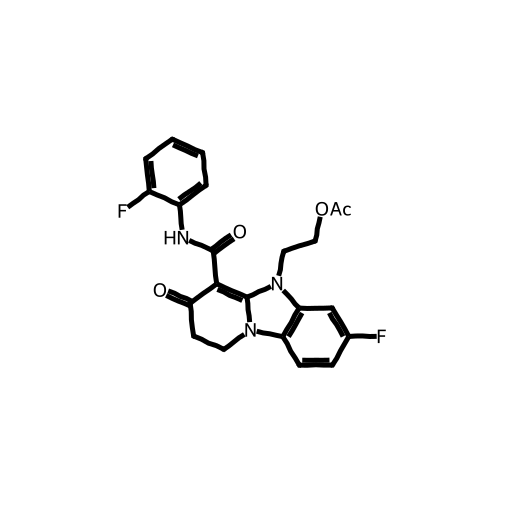 CC(=O)OCCN1C2=C(C(=O)Nc3ccccc3F)C(=O)CCN2c2ccc(F)cc21